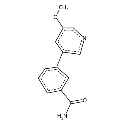 COc1cncc(-c2[c]ccc(C(N)=O)c2)c1